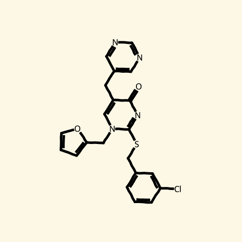 O=c1nc(SCc2cccc(Cl)c2)n(Cc2ccco2)cc1Cc1cncnc1